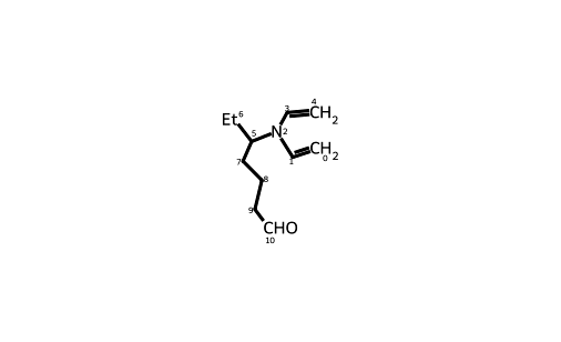 C=CN(C=C)C(CC)CCCC=O